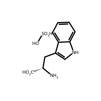 N[C@@H](Cc1c[nH]c2ccccc12)C(=O)O.O=S(=O)(O)O